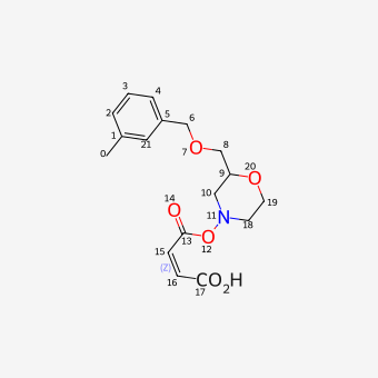 Cc1cccc(COCC2CN(OC(=O)/C=C\C(=O)O)CCO2)c1